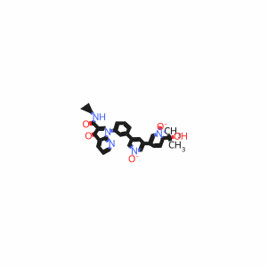 CC(C)(O)c1ccc(-c2cc(-c3cccc(-n4cc(C(=O)NC5CC5)c(=O)c5cccnc54)c3)c[n+]([O-])c2)c[n+]1[O-]